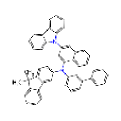 CC1(C)c2ccccc2-c2cc(N(c3cccc(-c4ccccc4)c3)c3cc(-n4c5ccccc5c5ccccc54)cc4ccccc34)ccc21